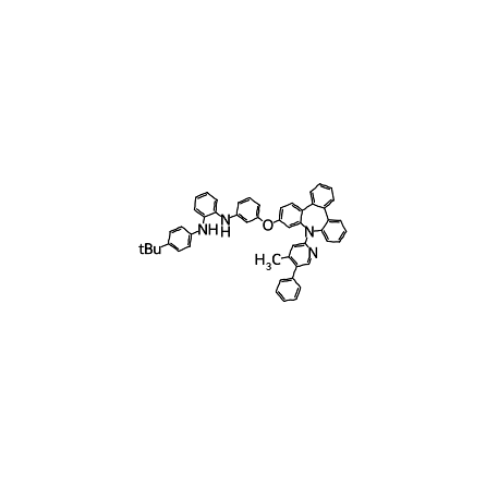 Cc1cc(N2c3ccccc3-c3ccccc3-c3ccc(Oc4cccc(Nc5ccccc5Nc5ccc(C(C)(C)C)cc5)c4)cc32)ncc1-c1ccccc1